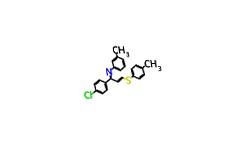 Cc1ccc(SC=CC(=Nc2cccc(C)c2)c2ccc(Cl)cc2)cc1